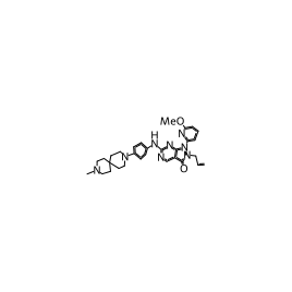 C=CCn1c(=O)c2cnc(Nc3ccc(N4CCC5(CCN(C)CC5)CC4)cc3)nc2n1-c1cccc(OC)n1